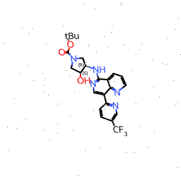 CC(C)(C)OC(=O)N1C[C@H](O)[C@H](Nc2ncc(-c3ccc(C(F)(F)F)cn3)c3ncccc23)C1